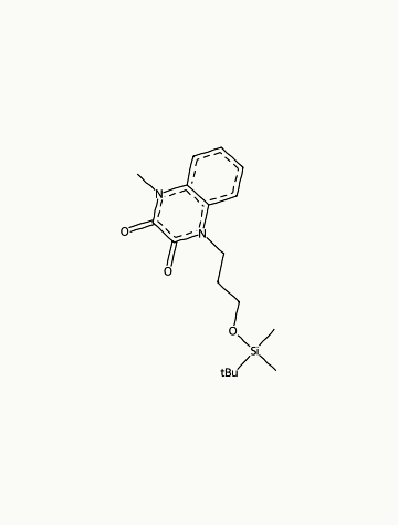 Cn1c(=O)c(=O)n(CCCO[Si](C)(C)C(C)(C)C)c2ccccc21